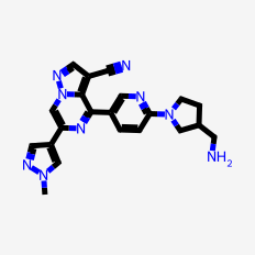 Cn1cc(-c2cn3ncc(C#N)c3c(-c3ccc(N4CCC(CN)C4)nc3)n2)cn1